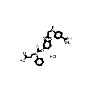 CN(Cc1nc2cc(OC(=O)N(CCC(=O)O)c3ccccc3)ccc2s1)c1ccc(C(=N)N)cc1.Cl